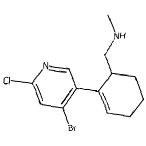 CNCC1CCCC=C1c1cnc(Cl)cc1Br